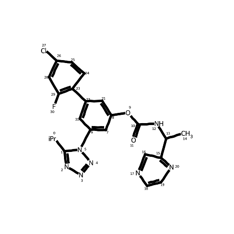 CC(C)c1nnnn1-c1cc(OC(=O)NC(C)c2cnccn2)cc(-c2ccc(Cl)cc2F)c1